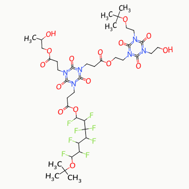 CC(O)COC(=O)CCn1c(=O)n(CCC(=O)OCCn2c(=O)n(CCO)c(=O)n(CCOC(C)(C)C)c2=O)c(=O)n(CCC(=O)OC(F)C(F)C(F)(F)C(F)C(F)C(F)C(F)OC(C)(C)C)c1=O